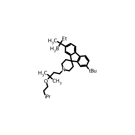 BC(C)(CC)c1ccc2c(c1)C1(CCN(CCC(C)(C)OCCC(C)C)CC1)c1cc(C(C)(C)C)ccc1-2